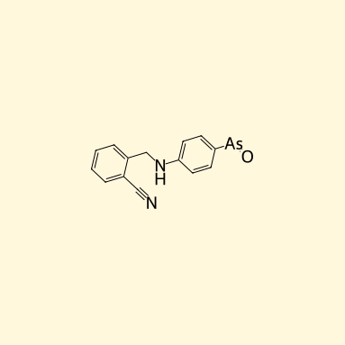 N#Cc1ccccc1CNc1ccc([As]=O)cc1